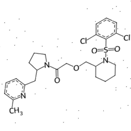 Cc1cccc(CC2CCCN2C(=O)COCC2CCCCN2S(=O)(=O)c2c(Cl)cccc2Cl)n1